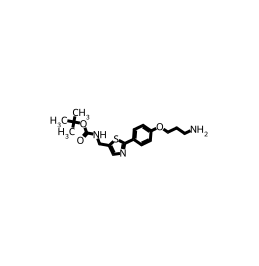 CC(C)(C)OC(=O)NCc1cnc(-c2ccc(OCCCN)cc2)s1